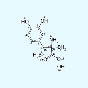 B[C@H](c1ccc(O)c(O)c1)[C@@](B)(N)C(=O)OO